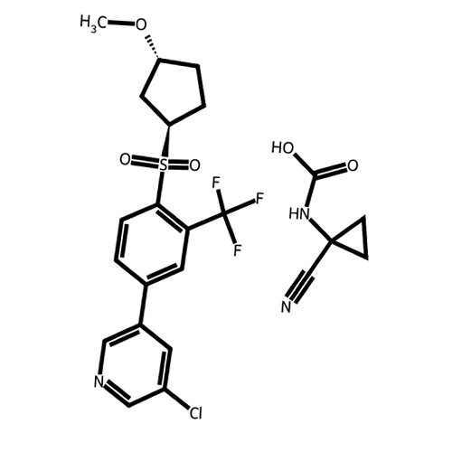 CO[C@@H]1CC[C@@H](S(=O)(=O)c2ccc(-c3cncc(Cl)c3)cc2C(F)(F)F)C1.N#CC1(NC(=O)O)CC1